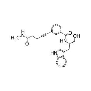 CNC(=O)CCC#Cc1cccc(C(=O)N[C@@H](CO)Cc2c[nH]c3ccccc23)c1